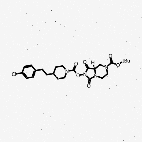 CC(C)(C)OC(=O)N1CCN2C(=O)N(OC(=O)N3CCC(CCc4ccc(Cl)cc4)CC3)C(=O)[C@@H]2C1